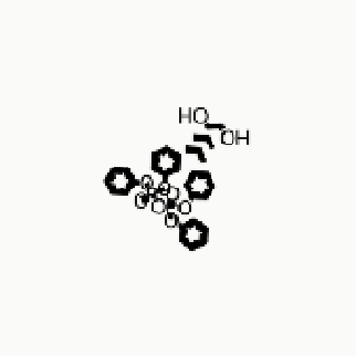 C=CC.C=CC.O=P(Oc1ccccc1)(Oc1ccccc1)OP(=O)(Oc1ccccc1)Oc1ccccc1.OCCO